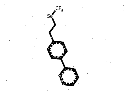 FC(F)(F)[Se]CCc1ccc(-c2ccccc2)cc1